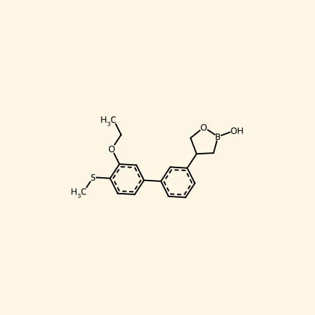 CCOc1cc(-c2cccc(C3COB(O)C3)c2)ccc1SC